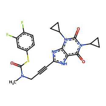 CN(CC#Cc1nc2c([nH]1)c(=O)n(C1CC1)c(=O)n2C1CC1)C(=O)Sc1ccc(F)c(F)c1